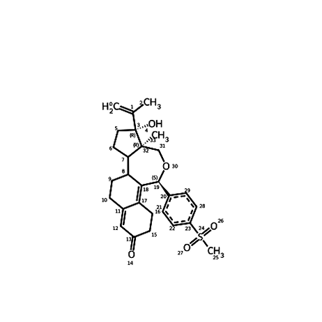 C=C(C)[C@]1(O)CCC2C3CCC4=CC(=O)CCC4=C3[C@H](c3ccc(S(C)(=O)=O)cc3)OC[C@@]21C